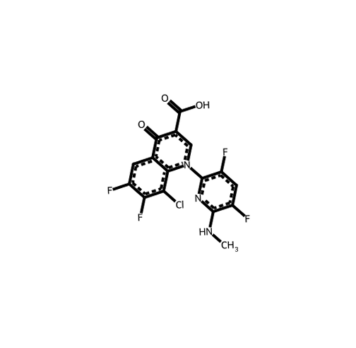 CNc1nc(-n2cc(C(=O)O)c(=O)c3cc(F)c(F)c(Cl)c32)c(F)cc1F